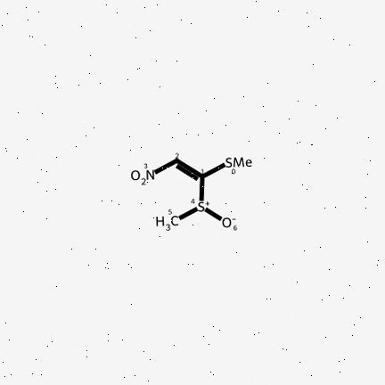 CSC(=C[N+](=O)[O-])[S+](C)[O-]